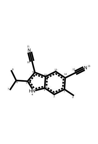 Cc1cc2[nH]c(C(C)C)c(C#N)c2cc1C#N